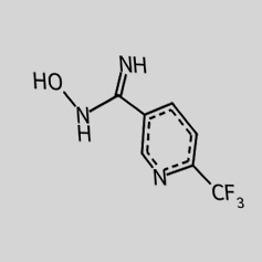 N=C(NO)c1ccc(C(F)(F)F)nc1